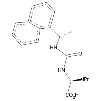 CC(C)[C@H](NC(=O)N[C@@H](C)c1cccc2ccccc12)C(=O)O